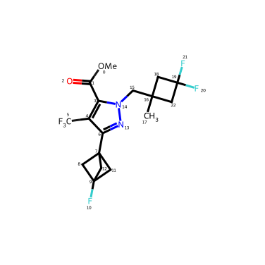 COC(=O)c1c(C(F)(F)F)c(C23CC(F)(C2)C3)nn1CC1(C)CC(F)(F)C1